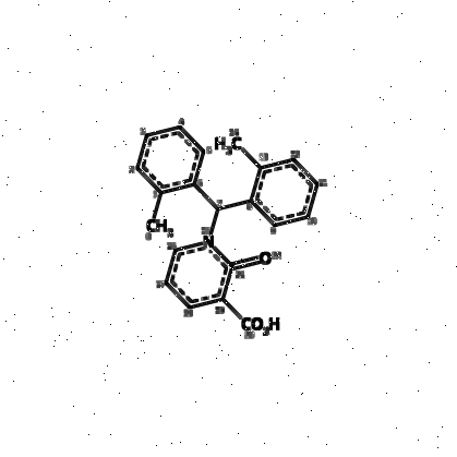 Cc1ccccc1C(c1ccccc1C)n1cccc(C(=O)O)c1=O